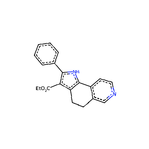 CCOC(=O)c1c(-c2ccccc2)[nH]c2c1CCc1cnccc1-2